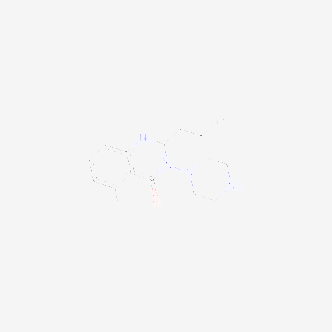 CC(C)CCc1nc2cccc(Cl)c2c(=O)n1N1CCNCC1